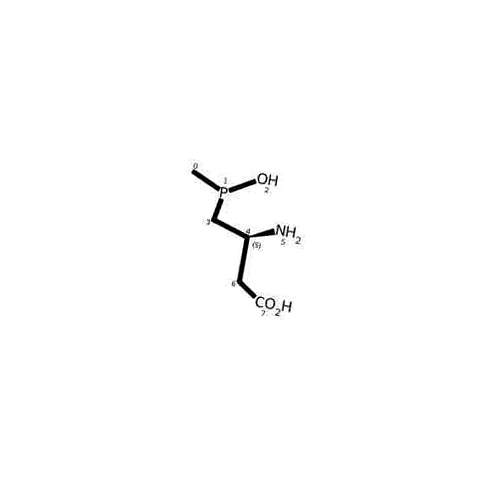 CP(O)C[C@@H](N)CC(=O)O